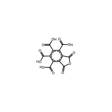 O=C(O)c1c(C(=O)O)c(C(=O)O)c2c(c1C(=O)O)C(=O)OC2=O